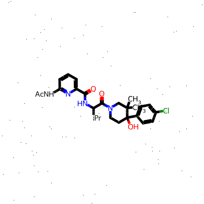 CC(=O)Nc1cccc(C(=O)NC(C(=O)N2CCC(O)(c3ccc(Cl)cc3)C(C)(C)C2)C(C)C)n1